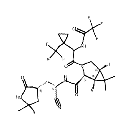 CC1(C)C[C@@H](C[C@@H](C#N)NC(=O)[C@@H]2[C@@H]3[C@H](CN2C(=O)C(NC(=O)C(F)(F)F)C2(C(F)(F)F)CC2)C3(C)C)C(=O)N1